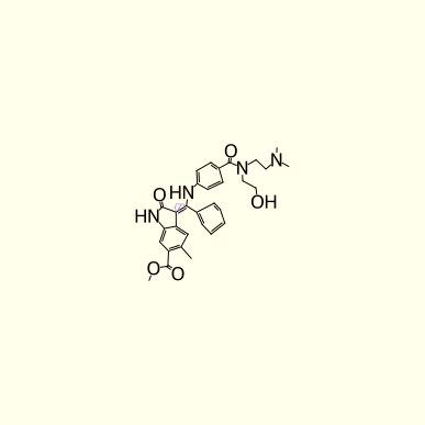 COC(=O)c1cc2c(cc1C)/C(=C(/Nc1ccc(C(=O)N(CCO)CCN(C)C)cc1)c1ccccc1)C(=O)N2